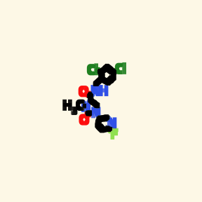 CN1C(=O)N(c2ccc(F)nc2)CC1C(=O)NCc1ccc(Cl)cc1Cl